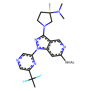 CC(=O)Nc1cc2c(cn1)c(N1CC[C@@](C)(N(C)C)C1)nn2-c1cncc(C(C)(F)F)n1